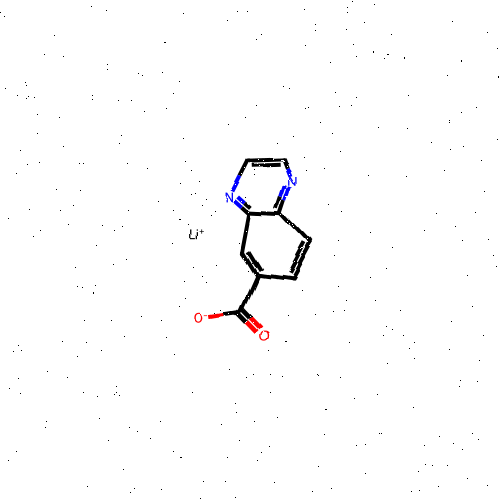 O=C([O-])c1ccc2nccnc2c1.[Li+]